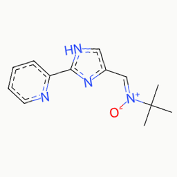 CC(C)(C)[N+]([O-])=Cc1c[nH]c(-c2ccccn2)n1